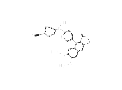 COc1cc2cc3c(c(-c4ccc(N(C)c5ccc(C#N)cc5)nc4)c2cc1OC)C(=O)OC3